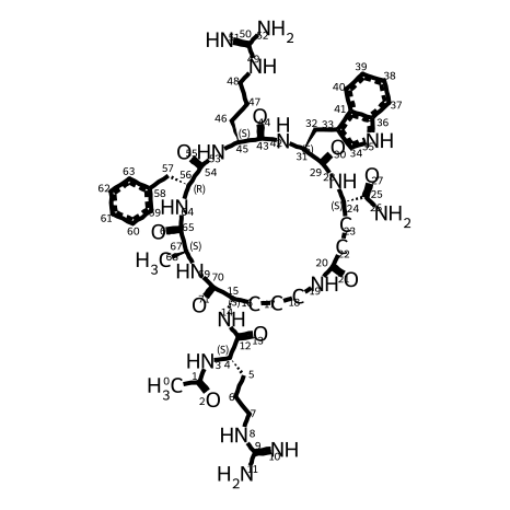 CC(=O)N[C@@H](CCCNC(=N)N)C(=O)N[C@H]1CCCNC(=O)CC[C@@H](C(N)=O)NC(=O)[C@H](Cc2c[nH]c3ccccc23)NC(=O)[C@H](CCCNC(=N)N)NC(=O)[C@@H](Cc2ccccc2)NC(=O)[C@H](C)NC1=O